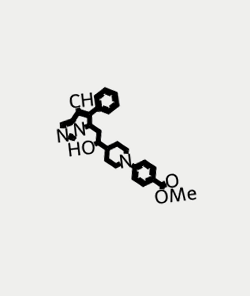 COC(=O)c1ccc(N2CCC(C(O)CC3C(c4ccccc4)=C(C)c4cncn43)CC2)cc1